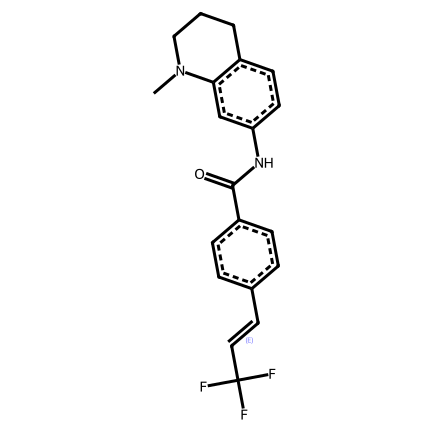 CN1CCCc2ccc(NC(=O)c3ccc(/C=C/C(F)(F)F)cc3)cc21